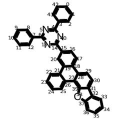 c1ccc(-c2nc(-c3ccccc3)nc(-c3ccc4c(c3)c3ccccc3c3c4ccc4c5ccccc5oc43)n2)cc1